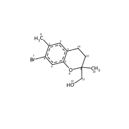 Cc1cc2c(cc1Br)OC(C)(CO)CC2